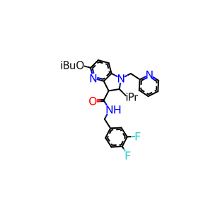 CC(C)COc1ccc2c(n1)C(C(=O)NCc1ccc(F)c(F)c1)C(C(C)C)N2Cc1ccccn1